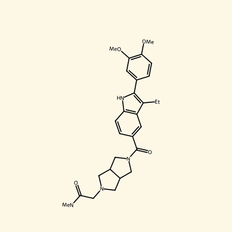 CCc1c(-c2ccc(OC)c(OC)c2)[nH]c2ccc(C(=O)N3CC4CN(CC(=O)NC)CC4C3)cc12